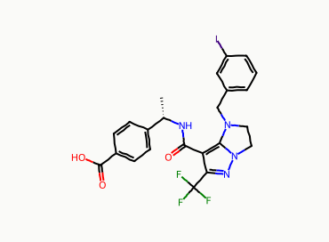 C[C@H](NC(=O)c1c(C(F)(F)F)nn2c1N(Cc1cccc(I)c1)CC2)c1ccc(C(=O)O)cc1